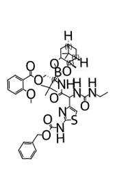 CCNC(=O)NC(C(=O)N[C@](COC(=O)c1ccccc1OC)(B1OC2C[C@H]3C[C@@H](C3(C)C)[C@]2(C)O1)C(C)(C)C)c1csc(NC(=O)OCc2ccccc2)n1